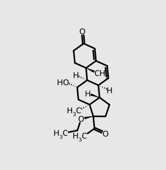 CCO[C@]1(C(C)=O)CC[C@H]2[C@@H]3C=CC4=CC(=O)CC[C@@]4(C)[C@@H]3[C@@H](O)C[C@@]21C